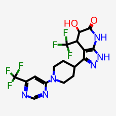 O=C1Nc2[nH]nc(C3CCN(c4cc(C(F)(F)F)ncn4)CC3)c2C(C(F)(F)F)C1O